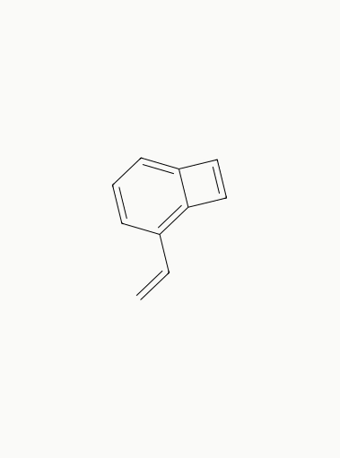 C=Cc1cccc2c1C=C2